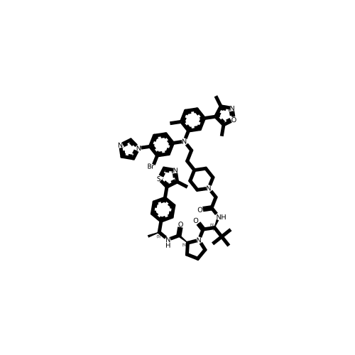 Cc1ccc(-c2c(C)noc2C)cc1N(CCC1CCN(CC(=O)N[C@H](C(=O)N2CCC[C@H]2C(=O)N[C@@H](C)c2ccc(-c3scnc3C)cc2)C(C)(C)C)CC1)c1ccc(-n2ccnc2)c(Br)c1